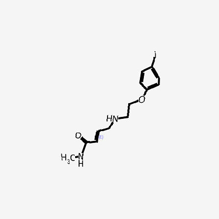 CNC(=O)/C=C/CNCCOc1ccc(I)cc1